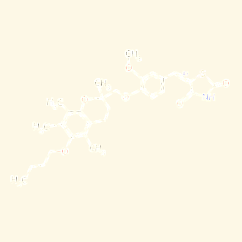 CCCCOc1c(C)c(C)c2c(c1C)CCC(C)(COc1ccc(/C=C3/SC(=O)NC3=O)cc1OC)O2